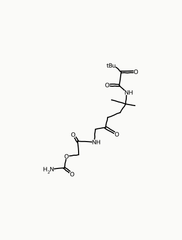 CC(C)(CCC(=O)CNC(=O)COC(N)=O)NC(=O)C(=O)C(C)(C)C